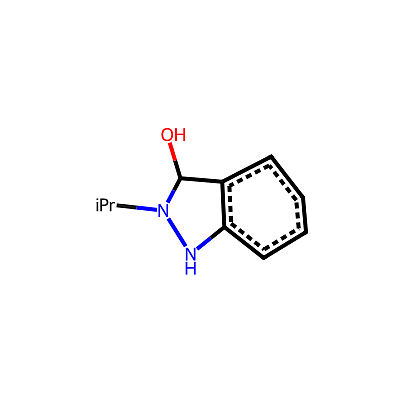 CC(C)N1Nc2ccccc2C1O